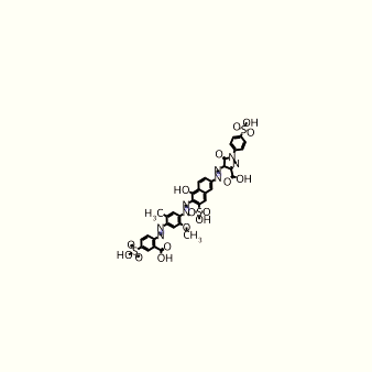 COc1cc(/N=N/c2ccc(S(=O)(=O)O)cc2C(=O)O)c(C)cc1/N=N/c1c(S(=O)(=O)O)cc2cc(/N=N/C3C(=O)N(c4ccc(S(=O)(=O)O)cc4)N=C3C(=O)O)ccc2c1O